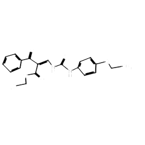 CCOC(=O)C(=CNC(=S)Nc1ccc(OCC)cc1)C(=O)c1ccccc1